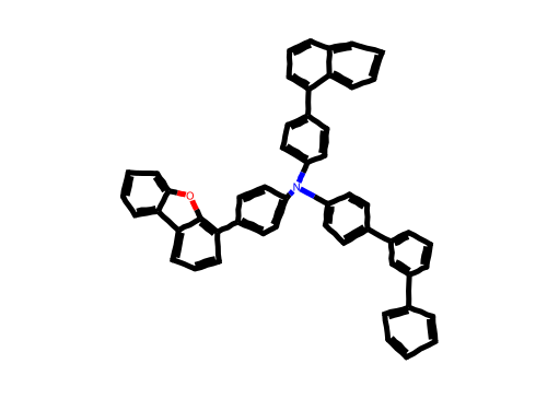 c1ccc(-c2cccc(-c3ccc(N(c4ccc(-c5cccc6ccccc56)cc4)c4ccc(-c5cccc6c5oc5ccccc56)cc4)cc3)c2)cc1